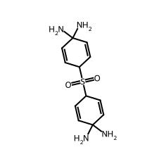 NC1(N)C=CC(S(=O)(=O)C2C=CC(N)(N)C=C2)C=C1